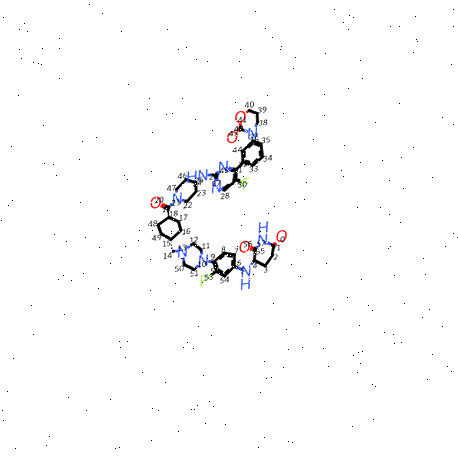 O=C1CCC(Nc2ccc(N3CCN(C[C@H]4CC[C@H](C(=O)N5CCC(Nc6ncc(F)c(-c7cccc(N8CCCOC8=O)c7)n6)CC5)CC4)CC3)c(F)c2)C(=O)N1